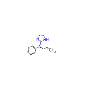 C=CCN(C1=NCCN1)c1ccccc1